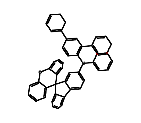 C1=CCCC(c2ccc(N(c3ccccc3)c3ccc4c(c3)C3(c5ccccc5Oc5ccccc53)c3ccccc3-4)c(C3=CCCC=C3)c2)=C1